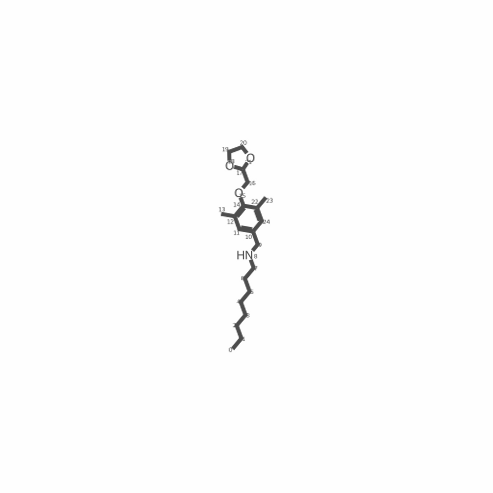 CCCCCCCCNCc1cc(C)c(OCC2OCCO2)c(C)c1